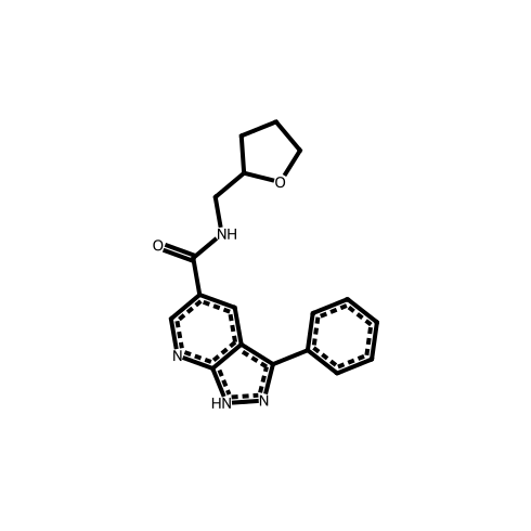 O=C(NCC1CCCO1)c1cnc2[nH]nc(-c3ccccc3)c2c1